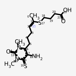 C/C(=C/CCCc1c(N)c(=S)n(C)c(=O)n1C)SCCCC(=O)O